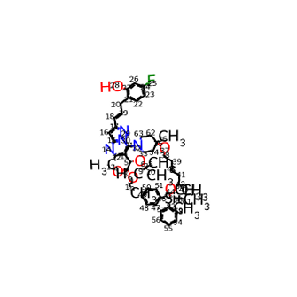 CCOC(=O)[C@@H](OC(C)(C)C)c1c(C)nc2cc(C=CCc3ccc(F)cc3O)nn2c1N1CCC(C)(OCCCC[C@@H](C)O[Si](c2ccccc2)(c2ccccc2)C(C)(C)C)CC1